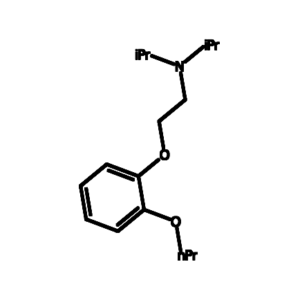 CCCOc1ccccc1OCCN(C(C)C)C(C)C